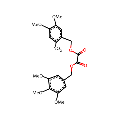 COc1cc(COC(=O)C(=O)OCc2cc(OC)c(OC)c(OC)c2)c([N+](=O)[O-])cc1OC